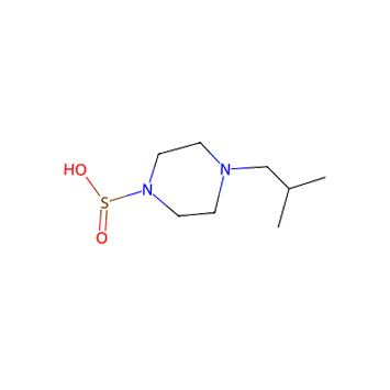 CC(C)CN1CCN(S(=O)O)CC1